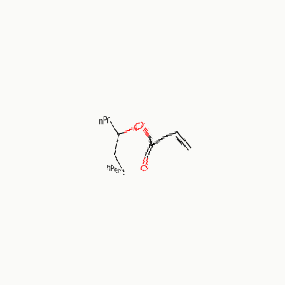 C=CC(=O)OC(CCC)CCCCCC